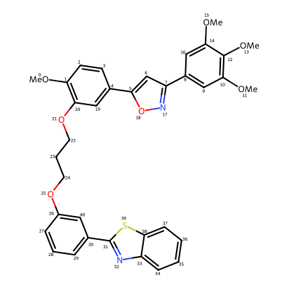 COc1ccc(-c2cc(-c3cc(OC)c(OC)c(OC)c3)no2)cc1OCCCOc1cccc(-c2nc3ccccc3s2)c1